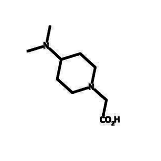 CN(C)C1CCN(CC(=O)O)CC1